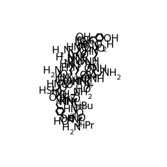 CC[C@H](C)[C@H](NC(=O)[C@@H]1C[C@@H](O)CN1C(=O)[C@@H](N)C(C)C)C(=O)N[C@@H](CCN)C(=O)N[C@@H](Cc1ccc(O)cc1)C(=O)N[C@H](C(=O)N[C@@H](CC(N)=O)C(=O)N[C@@H](CCCNC(=N)N)C(=O)N[C@@H](CCN)C(=O)N[C@H](C(=O)N[C@H](CCN)C(=O)N[C@@H](CCCNC(N)=O)C(=O)N[C@@H](CS)C(=O)N[C@@H](CCN)C(=O)N[C@@H](CO)C(=O)N[C@@H](Cc1ccc(O)cc1)C(=O)O)[C@@H](C)O)C(C)(C)S